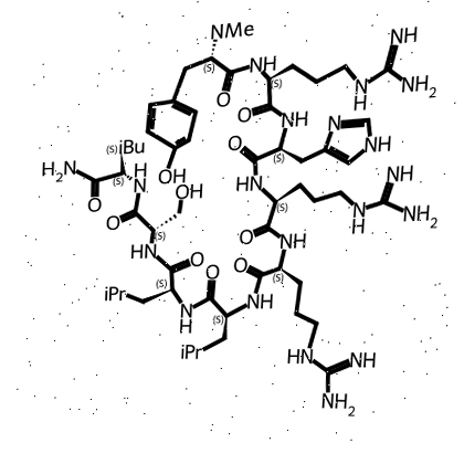 CC[C@H](C)[C@H](NC(=O)[C@H](CO)NC(=O)[C@H](CC(C)C)NC(=O)[C@H](CC(C)C)NC(=O)[C@H](CCCNC(=N)N)NC(=O)[C@H](CCCNC(=N)N)NC(=O)[C@H](Cc1c[nH]cn1)NC(=O)[C@H](CCCNC(=N)N)NC(=O)[C@H](Cc1ccc(O)cc1)NC)C(N)=O